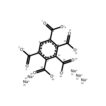 O=C([O-])c1cc(C(=O)[O-])c(C(=O)[O-])c(C(=O)[O-])c1C(=O)[O-].[Na+].[Na+].[Na+].[Na+].[Na+]